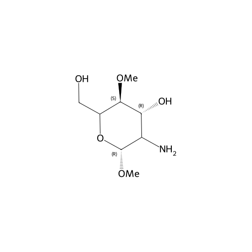 CO[C@@H]1OC(CO)[C@@H](OC)[C@H](O)C1N